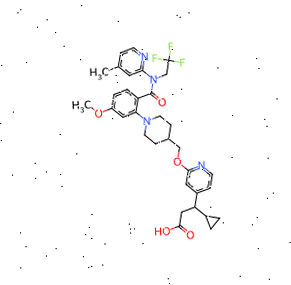 COc1ccc(C(=O)N(CC(F)(F)F)c2cc(C)ccn2)c(N2CCC(COc3cc(C(CC(=O)O)C4CC4)ccn3)CC2)c1